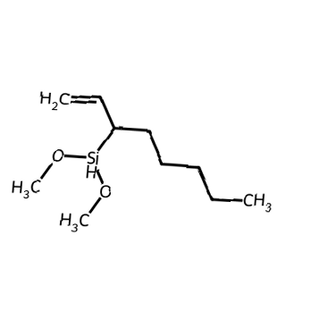 C=CC(CCCCC)[SiH](OC)OC